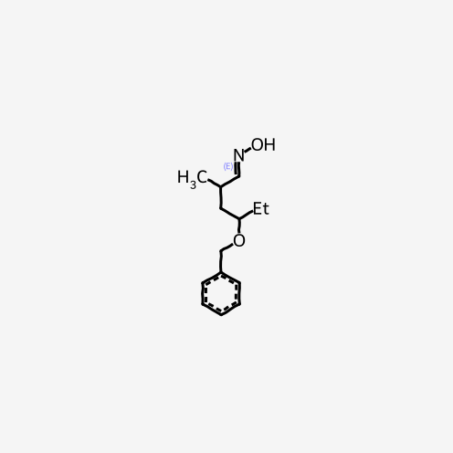 CCC(CC(C)/C=N/O)OCc1ccccc1